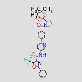 CC(C)(C)OC(=O)C1CCCN1C(=O)c1ccc(-c2ccc(NC(=O)c3nc(-c4ccccc4)oc3C(F)(F)F)cn2)cc1